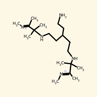 C/N=C(\C)C(C)(C)NCCC(CCN)CCNC(C)(C)/C(C)=N/C